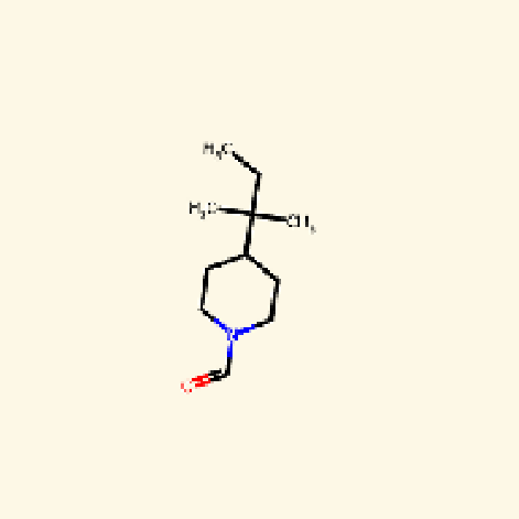 CCC(C)(C)C1CCN(C=O)CC1